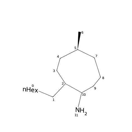 CCCCCCCC1CC[C@@H](C)CCCC1N